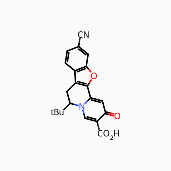 CC(C)(C)C1Cc2c(oc3cc(C#N)ccc23)-c2cc(=O)c(C(=O)O)cn21